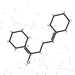 CCC(CCC=C1CCCCC1)=C1CCCCC1